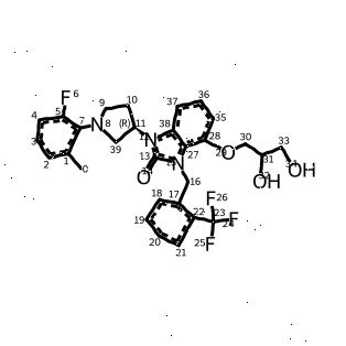 Cc1cccc(F)c1N1CC[C@@H](n2c(=O)n(Cc3ccccc3C(F)(F)F)c3c(OCC(O)CO)cccc32)C1